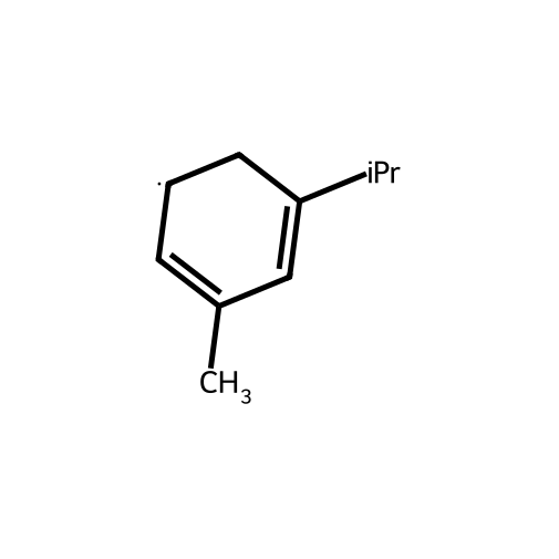 CC1=C[CH]CC(C(C)C)=C1